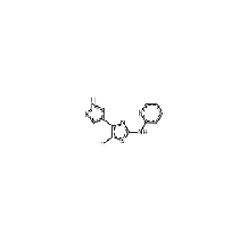 [CH]c1sc(Nc2ccccn2)nc1-c1cn[nH]c1